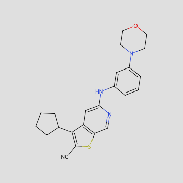 N#Cc1sc2cnc(Nc3cccc(N4CCOCC4)c3)cc2c1C1CCCC1